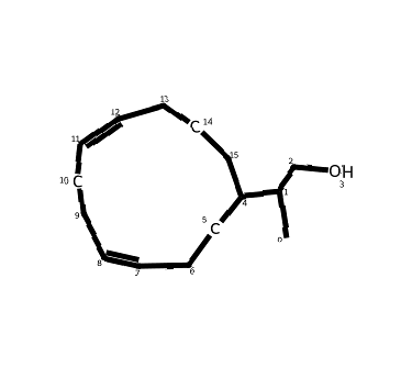 CC(CO)C1CC/C=C\CC/C=C\CCC1